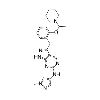 CC(Oc1ccccc1Cc1n[nH]c2nc(Nc3cnn(C)c3)ncc12)N1CCCCC1